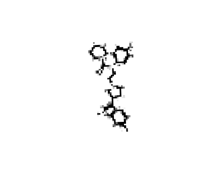 O=C(N1CCCCC1)N(CCN1CCC(c2c[nH]c3cc(F)ccc23)C1)c1ccc(F)cc1